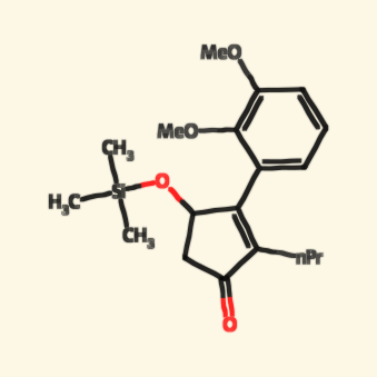 CCCC1=C(c2cccc(OC)c2OC)C(O[Si](C)(C)C)CC1=O